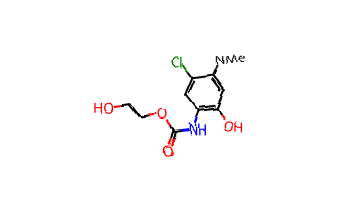 CNc1cc(O)c(NC(=O)OCCO)cc1Cl